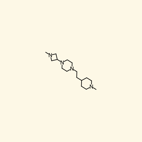 CN1CCC(CCN2CCN(C3CN(C)C3)CC2)CC1